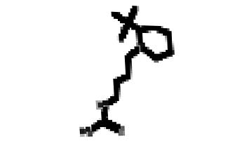 CC(C)(C)C1CCCCN1CCCCNC(=O)O